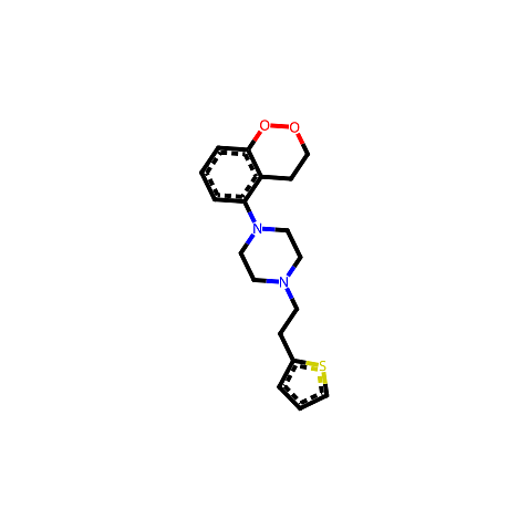 c1csc(CCN2CCN(c3cccc4c3CCOO4)CC2)c1